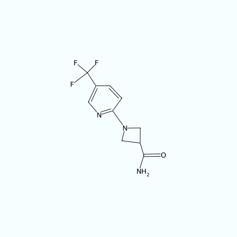 NC(=O)C1CN(c2ccc(C(F)(F)F)cn2)C1